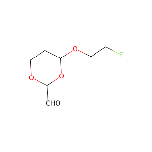 O=CC1OCCC(OCCF)O1